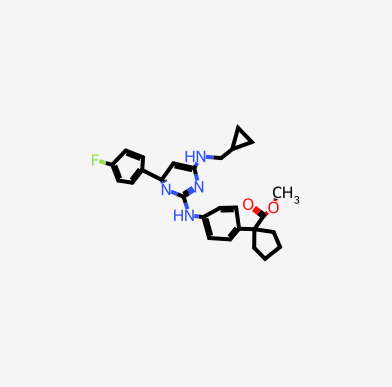 COC(=O)C1(c2ccc(Nc3nc(NCC4CC4)cc(-c4ccc(F)cc4)n3)cc2)CCCC1